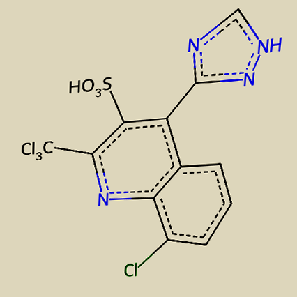 O=S(=O)(O)c1c(C(Cl)(Cl)Cl)nc2c(Cl)cccc2c1-c1nc[nH]n1